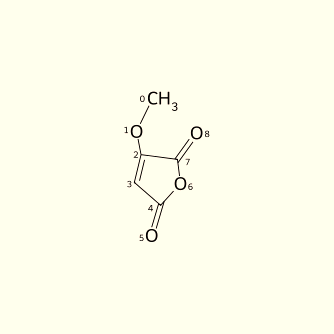 COC1=CC(=O)OC1=O